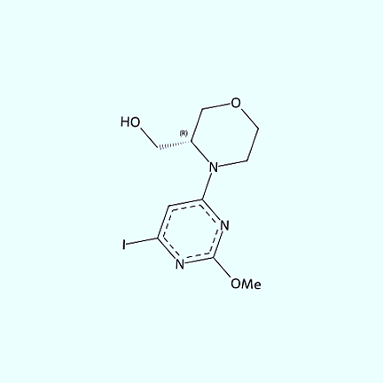 COc1nc(I)cc(N2CCOC[C@H]2CO)n1